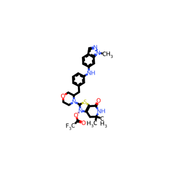 Cn1ncc2ccc(Nc3cccc(CC4COCCN4C4SC5=C(CC(C)(C)NC5=O)N4OC(=O)C(F)(F)F)c3)cc21